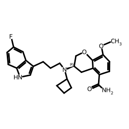 COc1ccc(C(N)=O)c2c1OC[C@H](N(CCCc1c[nH]c3ccc(F)cc13)C1CCC1)C2